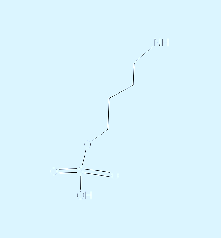 [NH]CCCCOS(=O)(=O)O